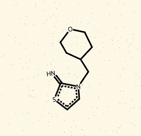 N=c1sccn1CC1CCOCC1